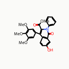 COC(=O)c1c(-c2cc(OC)c(OC)c(OC)c2)c2ccc(O)cc2c(=O)n1-c1ccccc1